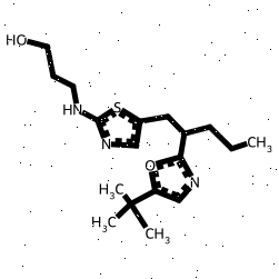 CCCC(Cc1cnc(NCCCO)s1)c1ncc(C(C)(C)C)o1